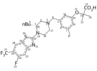 CCCC[C@@H]1CN(Cc2cc(C)cc(OC(C)(C)C(=O)O)c2)CCN1c1nc2cc(F)c(C(F)(F)F)cc2s1